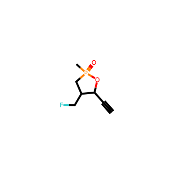 C#CC1OP(C)(=O)CC1CF